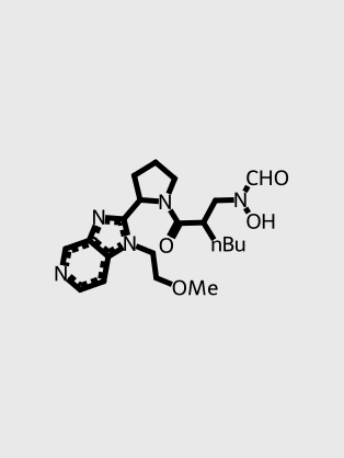 CCCCC(CN(O)C=O)C(=O)N1CCCC1c1nc2cnccc2n1CCOC